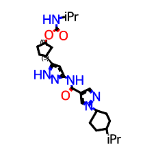 CC(C)NC(=O)O[C@@H]1CC[C@H](c2cc(NC(=O)c3cnn(C4CCC(C(C)C)CC4)c3)n[nH]2)C1